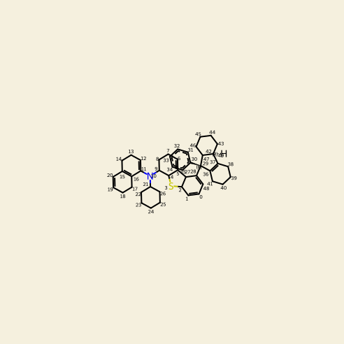 C1=CC2SC3C(=CCCC3N(C3=CCCC4=C3CCC=C4)C3CCCCC3)C2C([C@@]2(c3ccccc3)C3=C(CCCC3)[C@@H]3CCCCC32)=C1